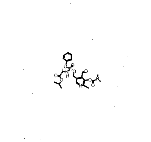 Cc1ncc(COP(=O)(N[C@@H](C)C(=O)OC(C)C)Oc2ccccc2)c(C=O)c1OC(=O)N(C)C